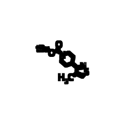 Cc1csnc1C1CCN(C(=O)OC(C)(C)C)CC1